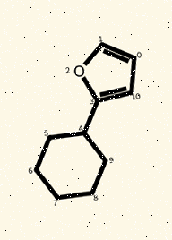 c1coc([C]2CCCCC2)c1